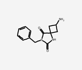 NC1CC2(C1)NC(=O)N(Cc1ccccc1)C2=O